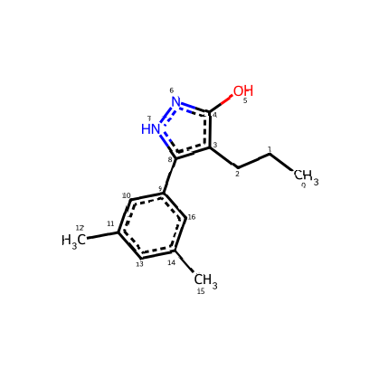 CCCc1c(O)n[nH]c1-c1cc(C)cc(C)c1